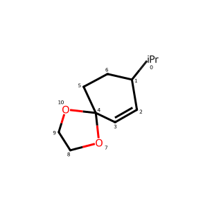 CC(C)C1C=CC2(CC1)OCCO2